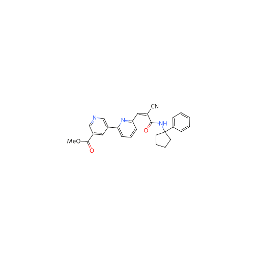 COC(=O)c1cncc(-c2cccc(C=C(C#N)C(=O)NC3(c4ccccc4)CCCC3)n2)c1